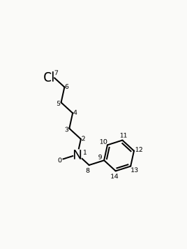 CN(CCCCCCl)Cc1ccccc1